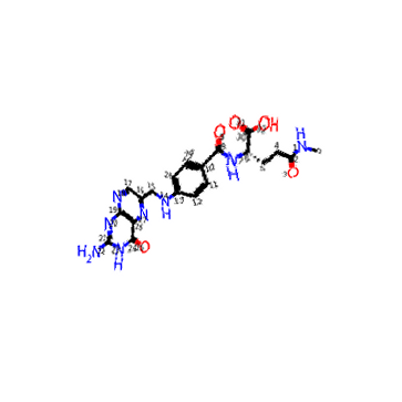 CNC(=O)CC[C@H](NC(=O)c1ccc(NCc2cnc3nc(N)[nH]c(=O)c3n2)cc1)C(=O)O